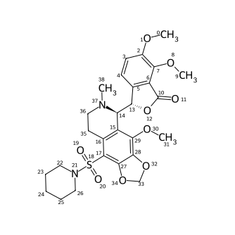 COc1ccc2c(c1OC)C(=O)O[C@@H]2[C@H]1c2c(c(S(=O)(=O)N3CCCCC3)c3c(c2OC)OCO3)CCN1C